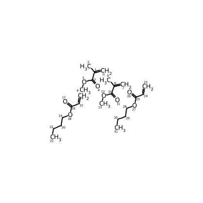 C=C(C)C(=O)OC.C=C(C)C(=O)OC.C=CC(=O)OCCCC.C=CC(=O)OCCCC